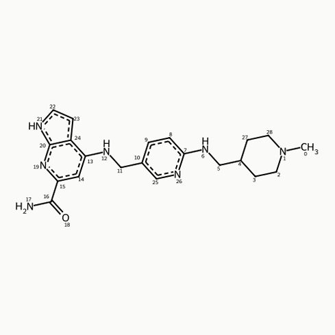 CN1CCC(CNc2ccc(CNc3cc(C(N)=O)nc4[nH]ccc34)cn2)CC1